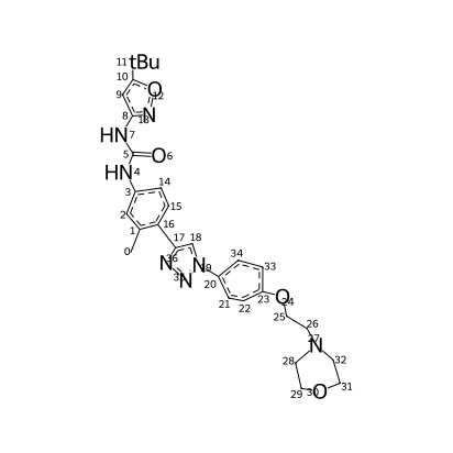 Cc1cc(NC(=O)Nc2cc(C(C)(C)C)on2)ccc1-c1cn(-c2ccc(OCCN3CCOCC3)cc2)nn1